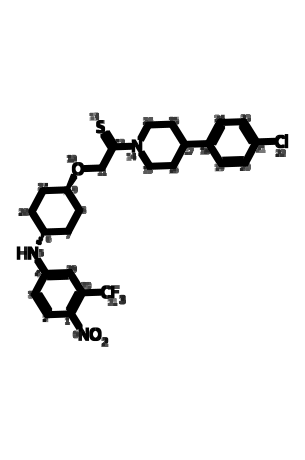 O=[N+]([O-])c1ccc(N[C@H]2CC[C@H](OCC(=S)N3CCC(c4ccc(Cl)cc4)CC3)CC2)cc1C(F)(F)F